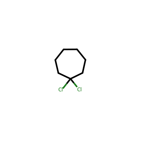 ClC1(Cl)CCCCCC1